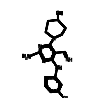 N=Cc1c(Nc2cccc(C(F)(F)F)c2)nc(N)nc1N1CCC(O)CC1